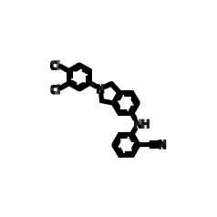 N#Cc1ccccc1Nc1ccc2c(c1)CN(c1ccc(Cl)c(Cl)c1)C2